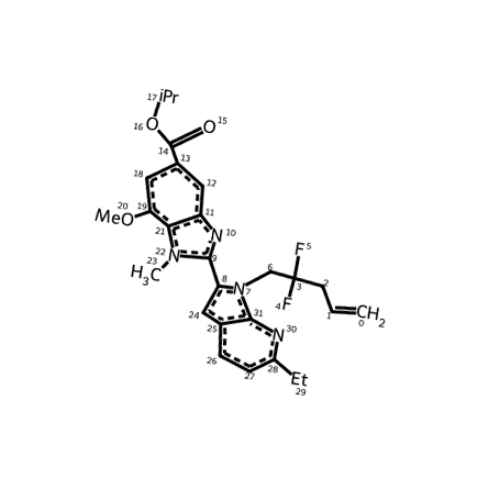 C=CCC(F)(F)Cn1c(-c2nc3cc(C(=O)OC(C)C)cc(OC)c3n2C)cc2ccc(CC)nc21